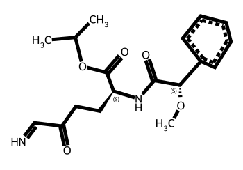 CO[C@H](C(=O)N[C@@H](CCC(=O)C=N)C(=O)OC(C)C)c1ccccc1